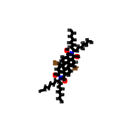 CCCCCCCC(CCCCCCC)N1C(=O)c2ccc3c4c(Br)cc5c6c(ccc(c7c(Br)cc(c2c37)C1=O)c64)C(=O)N(C(CCCCCCC)CCCCCCC)C5=O